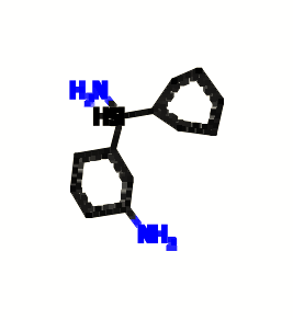 Nc1cccc([SiH](N)c2ccccc2)c1